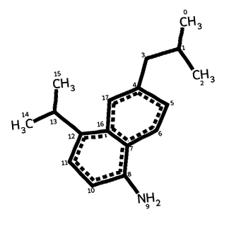 CC(C)Cc1ccc2c(N)ccc(C(C)C)c2c1